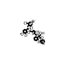 COc1ccc([C@H](Cc2c(Cl)c[n+]([O-])cc2Cl)OC(=O)c2ccc(CNC(CO)(C(=O)O[C@H]3CN4CCC3CC4)c3ccccc3)s2)cc1OC